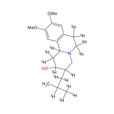 [2H]C([2H])([2H])C([2H])(C)C([2H])([2H])C1([2H])CN2C([2H])([2H])C([2H])([2H])c3cc(OC)c(OC)cc3C2([2H])C([2H])([2H])C1([2H])O